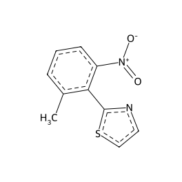 Cc1cccc([N+](=O)[O-])c1-c1nccs1